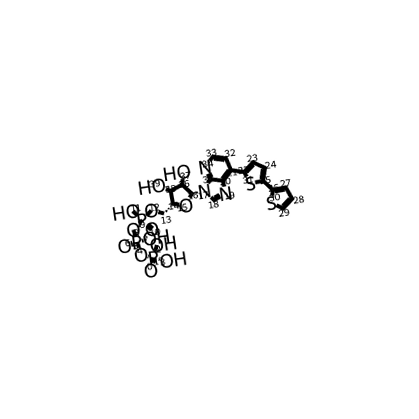 O=P(O)(O)OP(=O)(O)OP(=O)(O)OC[C@H]1O[C@@H](n2cnc3c(-c4ccc(-c5cccs5)s4)ccnc32)C(O)C1O